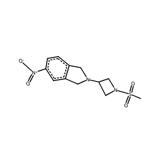 CS(=O)(=O)N1CC(N2Cc3ccc([N+](=O)[O-])cc3C2)C1